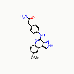 COc1ccc2nc(Nc3ccc(CC(N)=O)cc3)c3n[nH]cc3c2c1